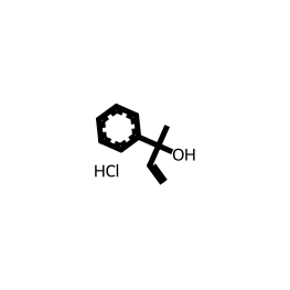 C=CC(C)(O)c1ccccc1.Cl